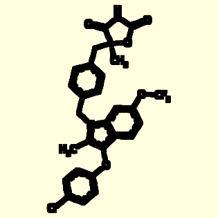 Cc1c(Oc2ccc(Cl)cc2)c2ccc(OC(F)(F)F)cc2n1Cc1ccc(C[C@@]2(C)OC(=O)NC2=O)cc1